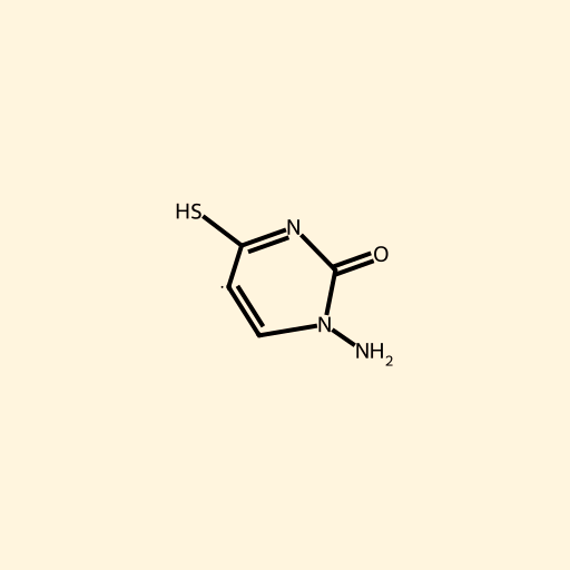 Nn1c[c]c(S)nc1=O